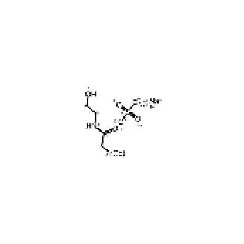 CCCCCCCCCC(=O)NCCO.O=S(=O)([O-])[O-].[Na+].[Na+]